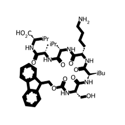 CC[C@H](C)[C@H](NC(=O)[C@H](CO)NC(=O)OCC1c2ccccc2-c2ccccc21)C(=O)N[C@@H](CCCCN)C(=O)N[C@H](C(=O)N[C@@H](C)C(=O)N[C@H](C(=O)O)C(C)C)C(C)C